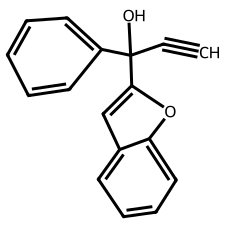 C#CC(O)(c1ccccc1)c1cc2ccccc2o1